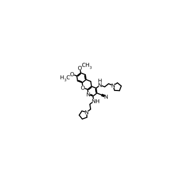 COc1cc2c(cc1OC)Oc1nc(NCCN3CCCC3)c(C#N)c(NCCN3CCCC3)c1C2